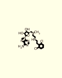 CN(CCNCCc1c(Cl)cccc1Cl)C[C@H]1O[C@@H](n2cnc3c(N)ncnc32)[C@H](O)[C@@H]1O